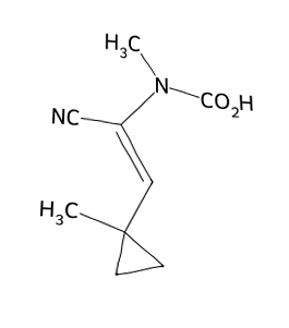 CN(C(=O)O)/C(C#N)=C/C1(C)CC1